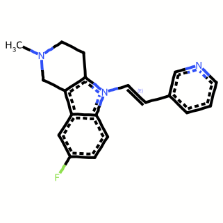 CN1CCc2c(c3cc(F)ccc3n2/C=C/c2cccnc2)C1